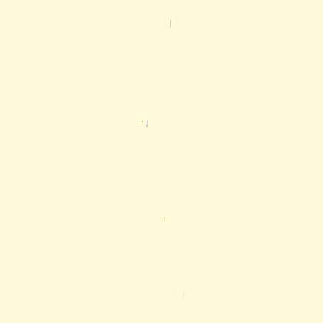 CCCCN1CCC[CH2][Ga]([CH2]CC)[CH2]CCC1